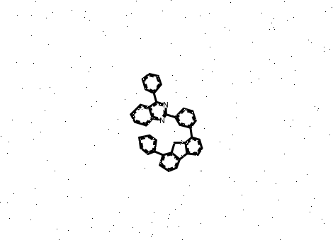 c1ccc(-c2cccc3c2Cc2c(-c4cccc(-c5nc(-c6ccccc6)c6ccccc6n5)c4)cccc2-3)cc1